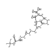 CC(C)(C)OC(=O)NCCOCCCc1cc2c3c(c1)c(=O)c(C(=O)O)cn3CC2